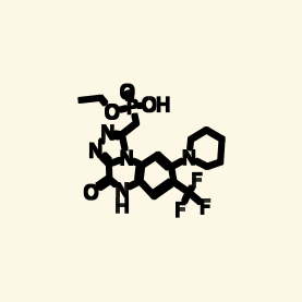 CCOP(=O)(O)Cc1nnc2c(=O)[nH]c3cc(C(F)(F)F)c(N4CCCCC4)cc3n12